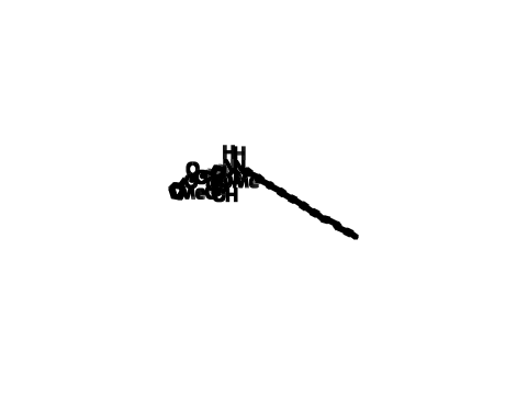 CC#CC#CC#CC#CC#CC#CC#CC#CC#CC#CNC(=O)N[C@@H]1C[C@H](COC(=O)OCc2ccccc2)C(OP(=O)(O)OC)[C@@H]1OC